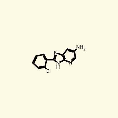 Nc1cnc2[nH]c(-c3ccccc3Cl)nc2c1